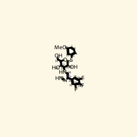 COc1cccc(S[C@H]2OC(CO)[C@H](O)C(N/C=C(\N=N)c3cc(F)c(F)c(F)c3)[C@H]2O)c1